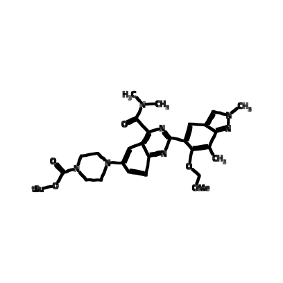 COCOc1c(-c2nc(C(=O)N(C)C)c3cc(N4CCN(C(=O)OC(C)(C)C)CC4)ccc3n2)cc2cn(C)nc2c1C